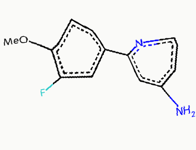 COc1ccc(-c2cc(N)ccn2)cc1F